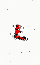 CCC1C=CC=C(C)N1C.CCCCN1C(C)=CC=CC1CC.CCCCN1C=CC(C)=CC1.CCCCN1C=CC=CC1.CCCCN1C=CC=CC1C.CCCCN1C=CC=CC1CC.CCc1ccccn1.CN1C=CC=CC1.CN1C=CN(C)C1